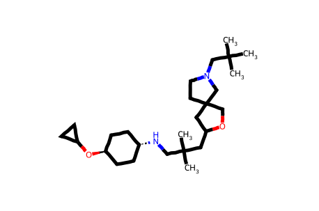 CC(C)(C)CN1CCC2(COC(CC(C)(C)CN[C@H]3CC[C@H](OC4CC4)CC3)C2)C1